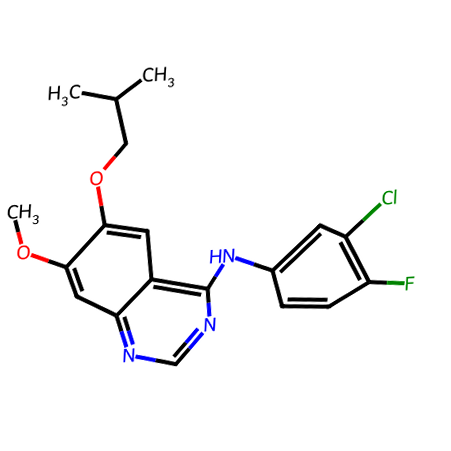 COc1cc2ncnc(Nc3ccc(F)c(Cl)c3)c2cc1OCC(C)C